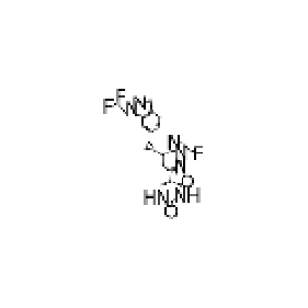 O=c1[nH]cc(-c2cc([C@H]3C[C@@H]3c3ccc4cnn(CC(F)F)c4c3)c3ncc(F)n3n2)c(=O)[nH]1